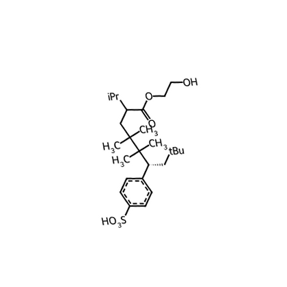 CC(C)C(CC(C)(C)C(C)(C)[C@H](CC(C)(C)C)c1ccc(S(=O)(=O)O)cc1)C(=O)OCCO